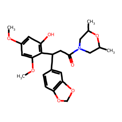 COc1cc(O)c(C(CC(=O)N2CC(C)OC(C)C2)c2ccc3c(c2)OCO3)c(OC)c1